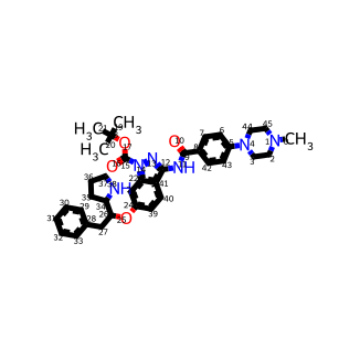 CN1CCN(c2ccc(C(=O)Nc3nn(C(=O)OC(C)(C)C)c4cc(OC(Cc5ccccc5)C5CCCN5)ccc34)cc2)CC1